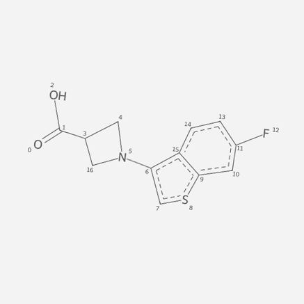 O=C(O)C1CN(c2csc3cc(F)ccc23)C1